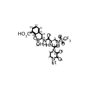 CCN1CCN(C(=O)N[C@H](CNS(=O)(=O)C(F)(F)F)C(=O)N[C@H]2Cc3cccc(C(=O)O)c3OB2O)C(=O)C1=O